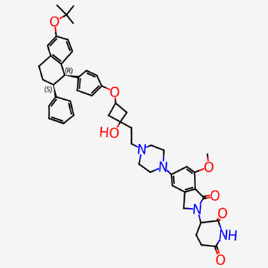 COc1cc(N2CCN(CCC3(O)CC(Oc4ccc([C@@H]5c6ccc(OC(C)(C)C)cc6CC[C@@H]5c5ccccc5)cc4)C3)CC2)cc2c1C(=O)N(C1CCC(=O)NC1=O)C2